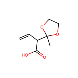 C=CC(C(=O)O)C1(C)OCCO1